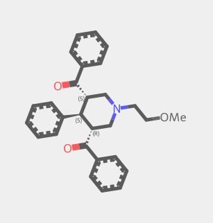 COCCN1C[C@H](C(=O)c2ccccc2)[C@@H](c2ccccc2)[C@H](C(=O)c2ccccc2)C1